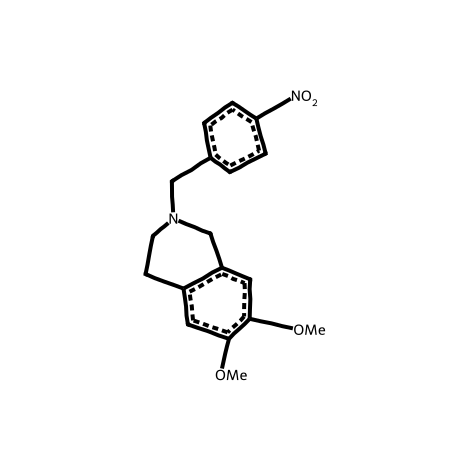 COc1cc2c(cc1OC)CN(Cc1ccc([N+](=O)[O-])cc1)CC2